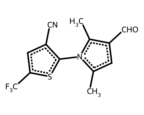 Cc1cc(C=O)c(C)n1-c1sc(C(F)(F)F)cc1C#N